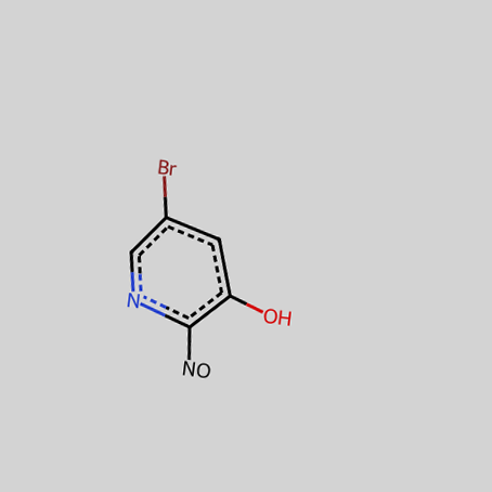 O=Nc1ncc(Br)cc1O